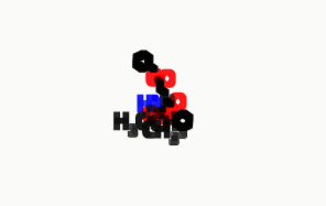 CC(C)(C)OC(=O)N[C@@H](CCC(=O)OCc1ccccc1)C(=O)OC1CCCCC1